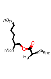 CCCCCCCCCCCCCCC(CCCCCCCCC)COC(=O)C(C)CCCCC